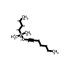 CCCCCC#CO[Si](C)(C)CCCC